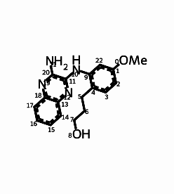 COc1ccc(CCCO)c(Nc2nc3ccccc3nc2N)c1